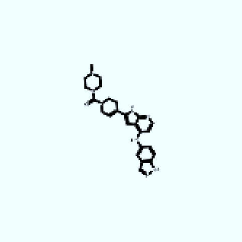 CN1CCN(C(=O)N2CC=C(c3cc4c(Nc5ccc6[nH]ncc6c5)ccnc4[nH]3)CC2)CC1